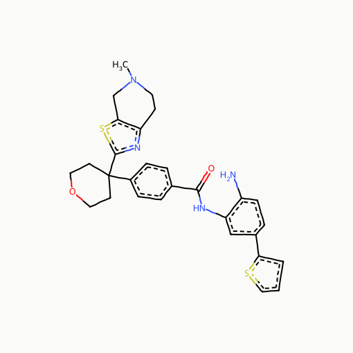 CN1CCc2nc(C3(c4ccc(C(=O)Nc5cc(-c6cccs6)ccc5N)cc4)CCOCC3)sc2C1